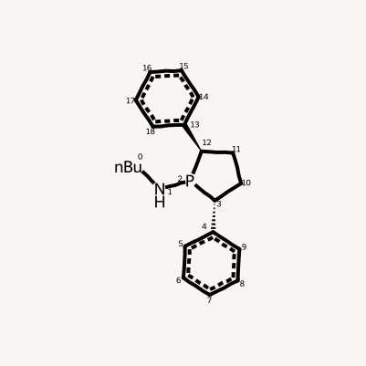 CCCCNP1[C@@H](c2ccccc2)CC[C@@H]1c1ccccc1